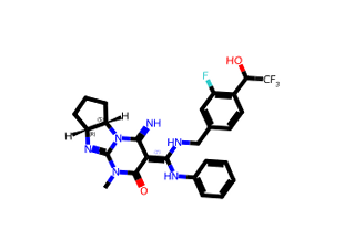 Cn1c(=O)/c(=C(/NCc2ccc(C(O)C(F)(F)F)c(F)c2)Nc2ccccc2)c(=N)n2c1=N[C@@H]1CCC[C@@H]12